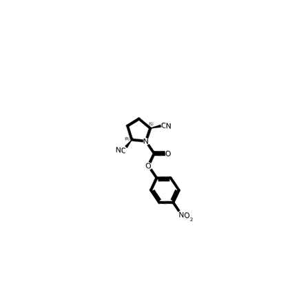 N#C[C@@H]1CC[C@H](C#N)N1C(=O)Oc1ccc([N+](=O)[O-])cc1